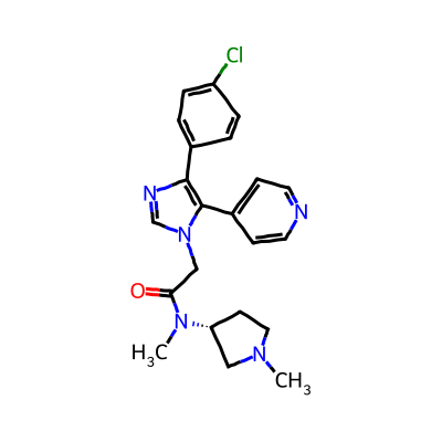 CN1CC[C@@H](N(C)C(=O)Cn2cnc(-c3ccc(Cl)cc3)c2-c2ccncc2)C1